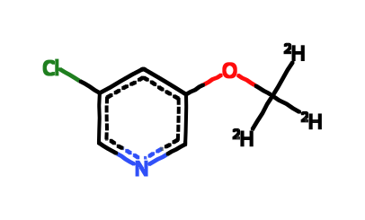 [2H]C([2H])([2H])Oc1cncc(Cl)c1